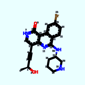 C[C@H](O)C#Cc1c[nH]c(=O)c2c1nc(N[C@H]1CCCNC1)c1ccc(Br)cc12